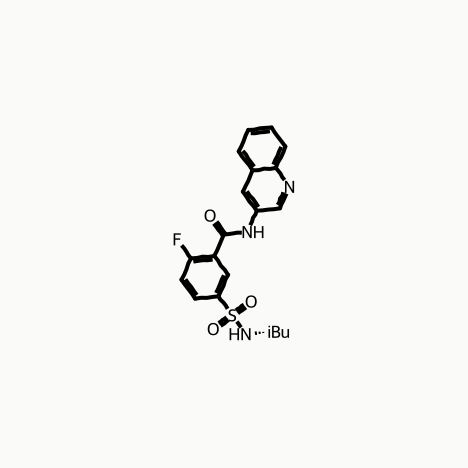 CC[C@@H](C)NS(=O)(=O)c1ccc(F)c(C(=O)Nc2cnc3ccccc3c2)c1